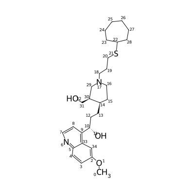 COc1ccc2nccc([C@@H](O)CC[C@@H]3CCN(CCCSC4CCCCCC4)C[C@@H]3CO)c2c1